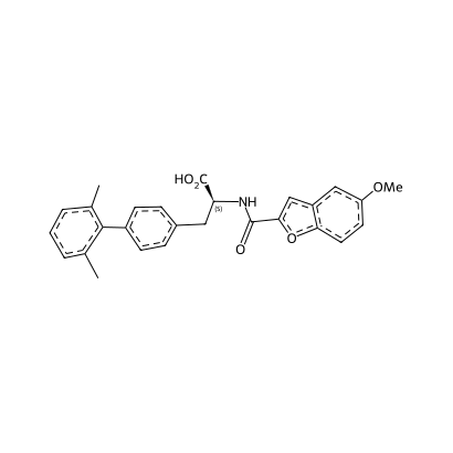 COc1ccc2oc(C(=O)N[C@@H](Cc3ccc(-c4c(C)cccc4C)cc3)C(=O)O)cc2c1